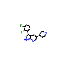 Fc1cccc(-c2c[nH]c3ncc(-c4ccncc4)cc23)c1F